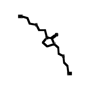 O=C1N(CCSCCS)CCN1CCSCCS